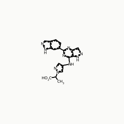 CC(C(=O)O)n1cc(Nc2nc(-c3ccc4cn[nH]c4c3)nc3cn[nH]c23)cn1